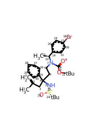 C=C(C)CC(CCN(C(=O)OC(C)(C)C)[C@@H](C)c1ccc(Br)cc1)(N[S@+]([O-])C(C)(C)C)c1ccccc1